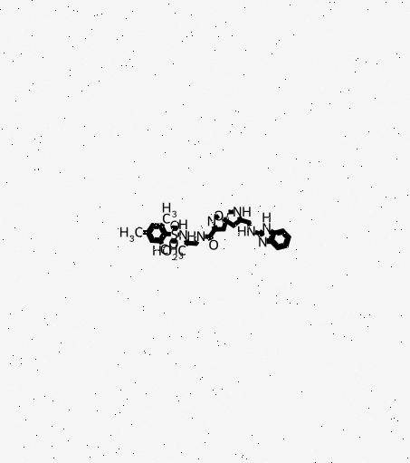 Cc1cc(C)c(S(=O)(=O)NC(CNC(=O)C2=NO[C@]3(CNC(CNc4nc5ccccc5[nH]4)C3)C2)C(=O)O)c(C)c1